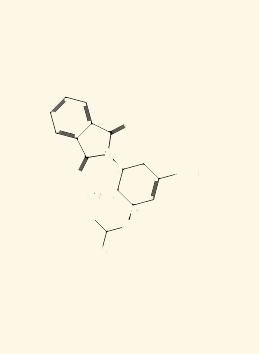 CCOC(=O)C1=C[C@@H](OC(CC)CC)[C@H](N)[C@@H](N2C(=O)c3ccccc3C2=O)C1